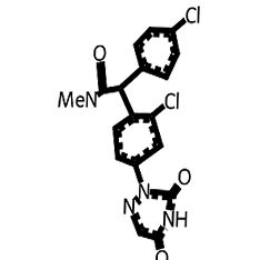 CNC(=O)C(c1ccc(Cl)cc1)c1ccc(-n2ncc(=O)[nH]c2=O)cc1Cl